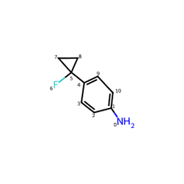 Nc1ccc(C2(F)CC2)cc1